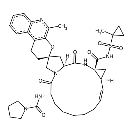 Cc1nc2ccccc2c2c1O[C@]1(CC2)C[C@H]2C(=O)N[C@]3(C(=O)NS(=O)(=O)C4(C)CC4)C[C@H]3/C=C\CCCCC[C@H](NC(=O)N3CCCC3)C(=O)N2C1